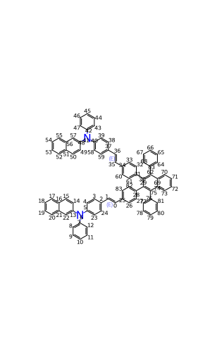 C(=C\c1ccc(N(c2ccccc2)c2ccc3ccccc3c2)cc1)/c1ccc(-c2c(-c3ccc(/C=C/c4ccc(N(c5ccccc5)c5ccc6ccccc6c5)cc4)cc3)c(-c3ccccc3)c3ccccc3c2-c2ccccc2)cc1